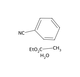 CCOC(C)=O.N#Cc1ccccc1.O